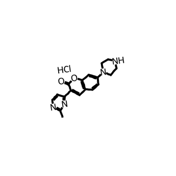 Cc1nccc(-c2cc3ccc(N4CCNCC4)cc3oc2=O)n1.Cl